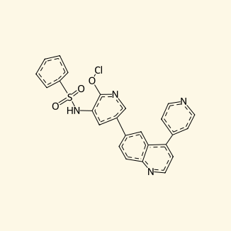 O=S(=O)(Nc1cc(-c2ccc3nccc(-c4ccncc4)c3c2)cnc1OCl)c1ccccc1